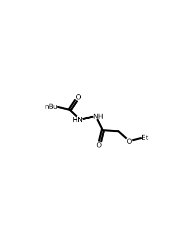 CCCCC(=O)NNC(=O)COCC